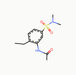 CCc1ccc(S(=O)(=O)N(C)C)cc1NC(C)=O